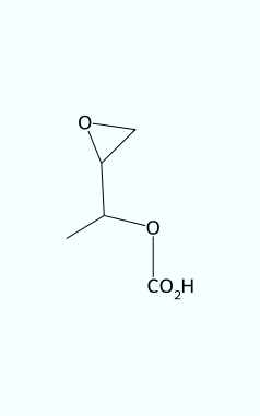 CC(OC(=O)O)C1CO1